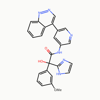 COc1cccc(C(O)(C(=O)Nc2cncc(-c3cnnc4ccccc34)c2)c2ncc[nH]2)c1